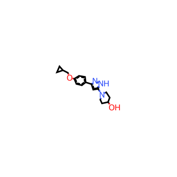 OC1CCN(c2cc(-c3ccc(OCC4CC4)cc3)n[nH]2)CC1